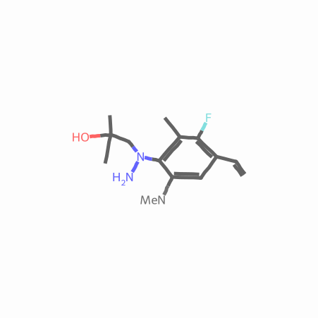 C=Cc1cc(NC)c(N(N)CC(C)(C)O)c(C)c1F